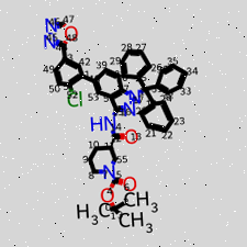 CC(C)(C)OC(=O)N1CCC[C@@H](C(=O)Nc2nn(C(c3ccccc3)(c3ccccc3)c3ccccc3)c3ccc(-c4cc(-c5nnco5)ccc4Cl)cc23)C1